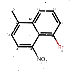 Cc1ccc([N+](=O)[O-])c2c(Br)cccc12